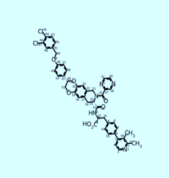 Cc1nccc(-c2ccc(C[C@H](NC(=O)[C@@H]3Cc4cc5c(cc4CN3C(=O)c3cnccn3)O[C@@H](c3ccc(OCc4ccc(Cl)c(Cl)c4)cc3)CO5)C(=O)O)cc2)c1C